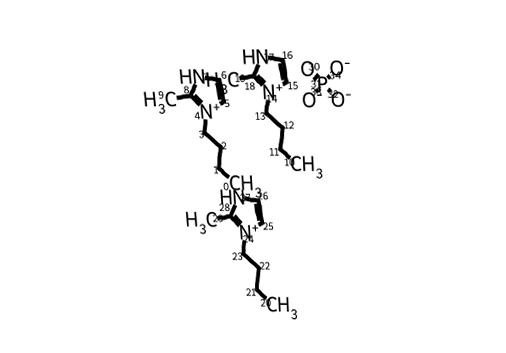 CCCC[n+]1cc[nH]c1C.CCCC[n+]1cc[nH]c1C.CCCC[n+]1cc[nH]c1C.O=P([O-])([O-])[O-]